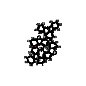 c1ccc2c(c1)-c1c(N(c3cccc4oc5ccccc5c34)c3cccc4oc5ccc(-c6cc7c8ccccc8n8c9ccccc9c(c6)c78)cc5c34)cccc1C21CCCCC1